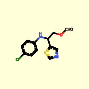 O=COCC(Nc1ccc(Cl)cc1)c1cncs1